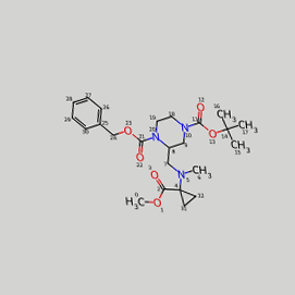 COC(=O)C1(N(C)CC2CN(C(=O)OC(C)(C)C)CCN2C(=O)OCc2ccccc2)CC1